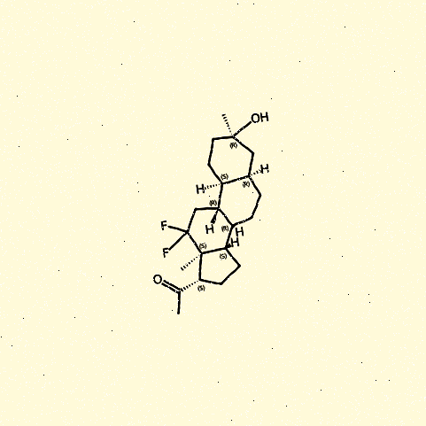 CC(=O)[C@H]1CC[C@H]2[C@@H]3CC[C@@H]4C[C@](C)(O)CC[C@@H]4[C@H]3CC(F)(F)[C@]12C